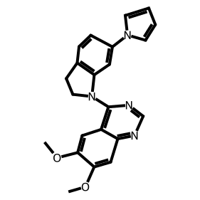 COc1cc2ncnc(N3CCc4ccc(-n5cccc5)cc43)c2cc1OC